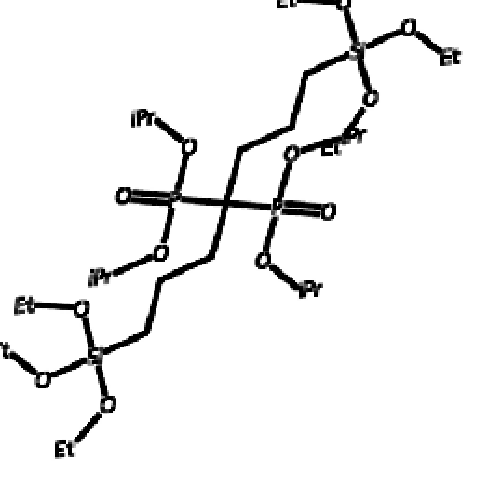 CCO[Si](CCCC(CCC[Si](OCC)(OCC)OCC)(P(=O)(OC(C)C)OC(C)C)P(=O)(OC(C)C)OC(C)C)(OCC)OCC